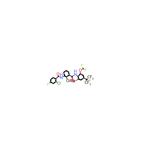 COc1c(NC(=O)c2ccc(F)cc2Cl)cccc1C(=O)Nc1c(Br)cc(C(F)(C(F)(F)F)C(F)(F)F)cc1OC(F)F